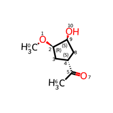 CO[C@@H]1C[C@@H](C(C)=O)C[C@@H]1O